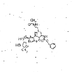 CC(=O)NCCCCC(NC(=O)OCc1ccccc1)C(=O)Nc1nc(=O)n([C@@H]2O[C@H](C)C(O)[C@@H]2O)cc1F